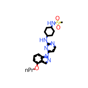 CCCOc1cccc2c1cnn2-c1ccnc(NC2CCC(NS(C)(=O)=O)CC2)n1